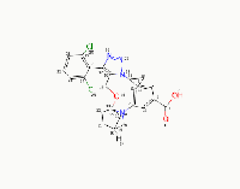 O=C(O)c1cccc(N2C[C@H]3CC[C@]2(OCc2c(-c4c(Cl)cccc4Cl)nnn2C2CC2)C3)c1